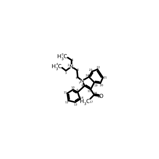 CCN(CC)CCn1c(-c2ccccc2)c(C(C)=O)c2ccccc21